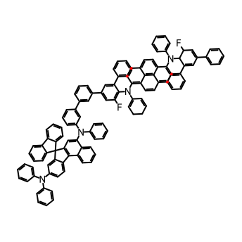 Fc1cc(-c2cccc(-c3cccc(N(c4ccccc4)c4cc5c(c6ccccc46)-c4ccc(N(c6ccccc6)c6ccccc6)cc4C54c5ccccc5-c5ccccc54)c3)c2)cc(-c2ccccc2)c1N(C1=CCCC=C1)c1ccc2ccc3c(N(c4ccccc4)C4C(c5ccccc5)=CC(c5ccccc5)=CC4F)ccc4ccc1c2c43